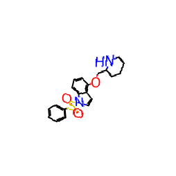 O=S(=O)(c1ccccc1)n1ccc2c(OCC3CCCCN3)cccc21